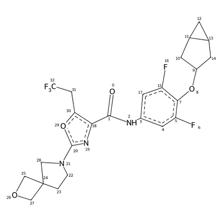 O=C(Nc1cc(F)c(OC2CC3CC3C2)c(F)c1)c1nc(N2CCC3(COC3)C2)oc1CC(F)(F)F